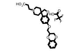 O=C(O)C(F)(F)F.O=C(O)CCN1CCC2(CC1)COc1cc(OCC3COc4ccccc4O3)ccc12